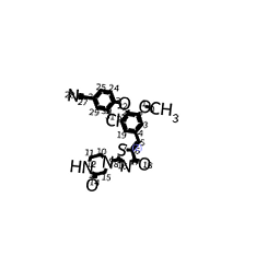 COc1cc(/C=C2\SC(N3CCNC(=O)C3)=NC2=O)ccc1Oc1ccc(C#N)cc1Cl